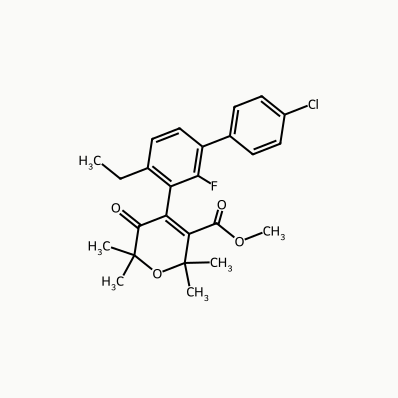 CCc1ccc(-c2ccc(Cl)cc2)c(F)c1C1=C(C(=O)OC)C(C)(C)OC(C)(C)C1=O